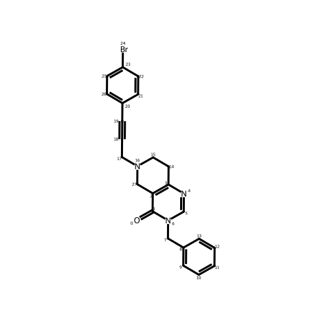 O=c1c2c(ncn1Cc1ccccc1)CCN(CC#Cc1ccc(Br)cc1)C2